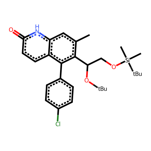 Cc1cc2[nH]c(=O)ccc2c(-c2ccc(Cl)cc2)c1C(CO[Si](C)(C)C(C)(C)C)OC(C)(C)C